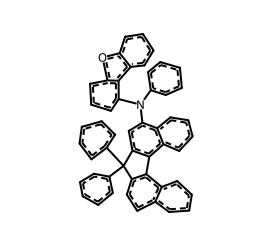 c1ccc(N(c2cc3c(c4ccccc24)-c2c(ccc4ccccc24)C3(c2ccccc2)c2ccccc2)c2cccc3oc4ccccc4c23)cc1